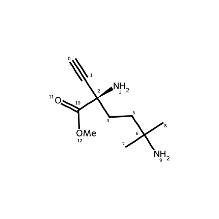 C#C[C@](N)(CCC(C)(C)N)C(=O)OC